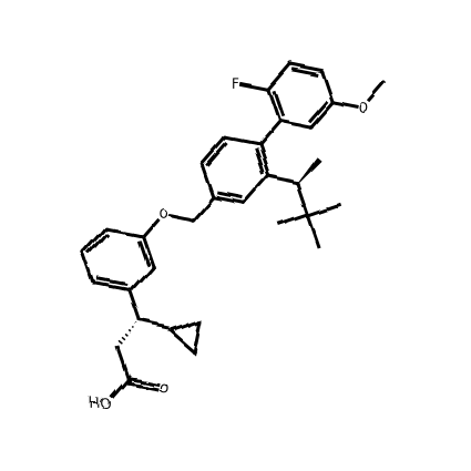 COc1ccc(F)c(-c2ccc(COc3cccc([C@@H](CC(=O)O)C4CC4)c3)cc2[C@@H](C)C(C)(C)C)c1